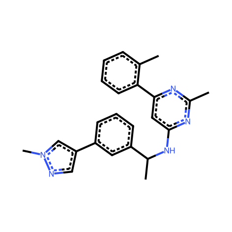 Cc1nc(NC(C)c2cccc(-c3cnn(C)c3)c2)cc(-c2ccccc2C)n1